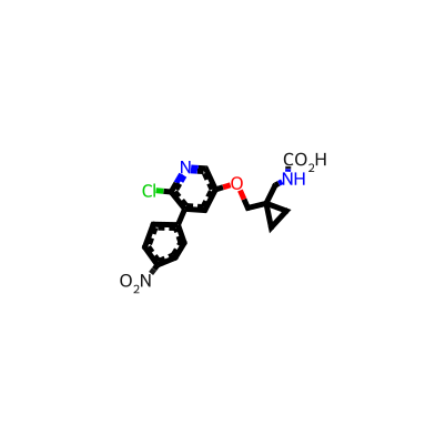 O=C(O)NCC1(COc2cnc(Cl)c(-c3ccc([N+](=O)[O-])cc3)c2)CC1